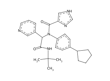 CC(C)(C)NC(=O)C(c1cccnc1)N(C(=O)c1c[nH]cn1)c1ccc(C2CCCC2)cc1